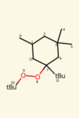 CC1CC(C)(C)CC(OOC(C)(C)C)(C(C)(C)C)C1